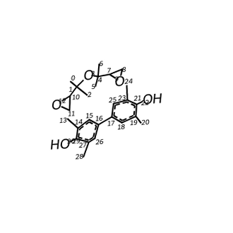 CC(C)(OC(C)(C)C1CO1)C1CO1.Cc1cc(-c2cc(C)c(O)c(C)c2)cc(C)c1O